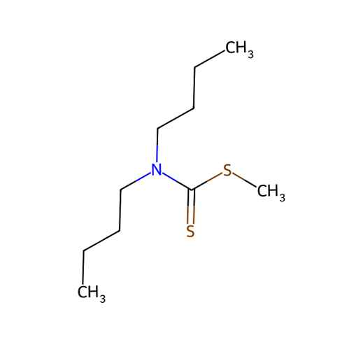 CCCCN(CCCC)C(=S)SC